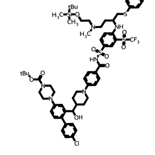 CN(CCO[Si](C)(C)C(C)(C)C)CCC(CSc1ccccc1)Nc1ccc(S(=O)(=O)NC(=O)c2ccc(N3CCC(C(O)c4cc(N5CCN(C(=O)OC(C)(C)C)CC5)ccc4-c4ccc(Cl)cc4)CC3)cc2)cc1S(=O)(=O)C(F)(F)F